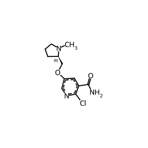 CN1CCC[C@@H]1COc1cnc(Cl)c(C(N)=O)c1